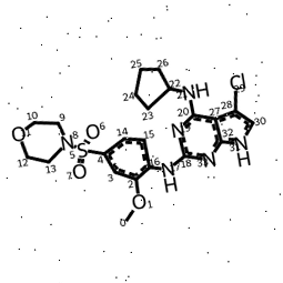 COc1cc(S(=O)(=O)N2CCOCC2)ccc1Nc1nc(NC2CCCC2)c2c(Cl)c[nH]c2n1